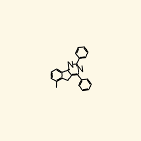 Cc1cccc2c1Cc1c(-c3ccccc3)nc(-c3ccccc3)nc1-2